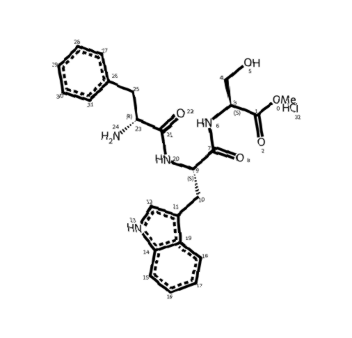 COC(=O)[C@H](CO)NC(=O)[C@H](Cc1c[nH]c2ccccc12)NC(=O)[C@H](N)Cc1ccccc1.Cl